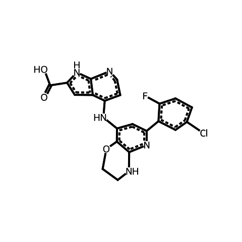 O=C(O)c1cc2c(Nc3cc(-c4cc(Cl)ccc4F)nc4c3OCCN4)ccnc2[nH]1